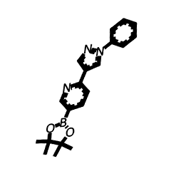 CC1(C)OB(c2ccc(-c3cnn(-c4ccccc4)c3)nc2)OC1(C)C